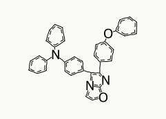 c1ccc(Oc2ccc(-c3nc4occn4c3-c3ccc(N(c4ccccc4)c4ccccc4)cc3)cc2)cc1